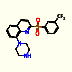 O=S(=O)(c1cccc(C(F)(F)F)c1)c1ccc2cccc(N3CCNCC3)c2n1